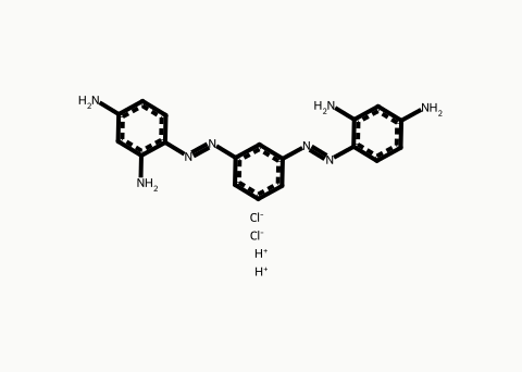 Nc1ccc(N=Nc2cccc(N=Nc3ccc(N)cc3N)c2)c(N)c1.[Cl-].[Cl-].[H+].[H+]